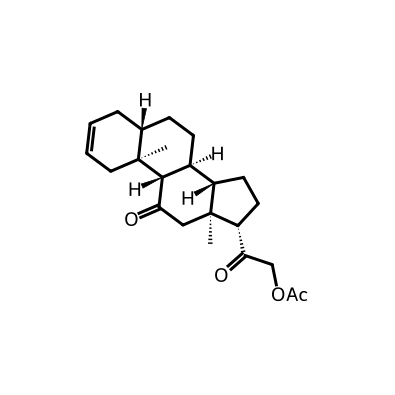 CC(=O)OCC(=O)[C@H]1CC[C@H]2[C@@H]3CC[C@H]4CC=CC[C@]4(C)[C@H]3C(=O)C[C@]12C